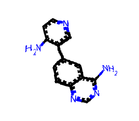 Nc1ccncc1-c1ccc2ncnc(N)c2c1